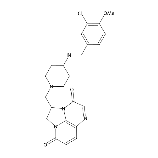 COc1ccc(CNC2CCN(CC3Cn4c(=O)ccc5ncc(=O)n3c54)CC2)cc1Cl